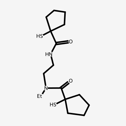 CCN(CCNC(=O)C1(S)CCCC1)C(=O)C1(S)CCCC1